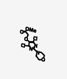 COC(=O)COc1c(Cl)nc(N2CCOCC2)nc1Cl